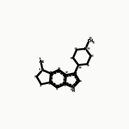 CC(=O)N1CCc2cc3[nH]cc(C4CCN(C)CC4)c3cc21